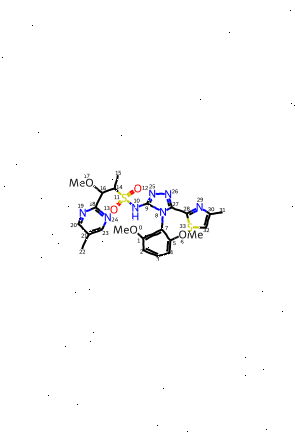 COc1cccc(OC)c1-n1c(NS(=O)(=O)C(C)C(OC)c2ncc(C)cn2)nnc1-c1nc(C)cs1